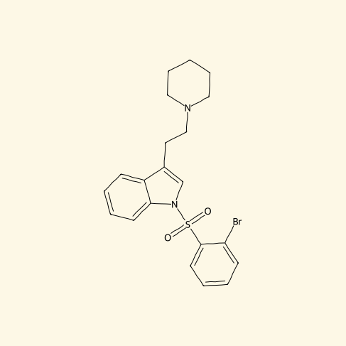 O=S(=O)(c1ccccc1Br)n1cc(CCN2CCCCC2)c2ccccc21